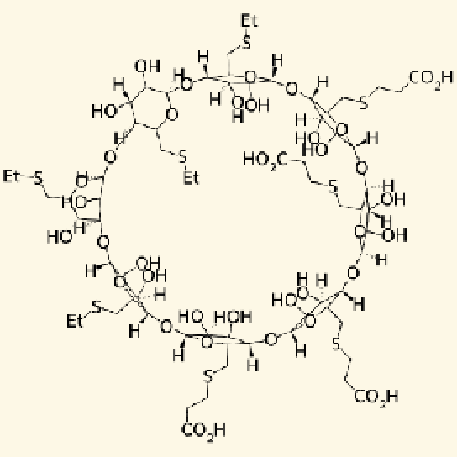 CCSCC1O[C@H]2O[C@@H]3C(CSCC)O[C@H](O[C@@H]4C(CSCC)O[C@H](O[C@@H]5C(CSCCC(=O)O)O[C@H](O[C@@H]6C(CSCCC(=O)O)O[C@H](O[C@@H]7C(CSCCC(=O)O)O[C@H](O[C@@H]8C(CSCCC(=O)O)O[C@H](O[C@@H]9C(CSCC)O[C@H](O[C@H](C2O)[C@@H]1O)C(O)[C@H]9O)[C@@H](O)C8O)C(O)[C@H]7O)C(O)[C@H]6O)C(O)[C@H]5O)C(O)[C@H]4O)C(O)[C@H]3O